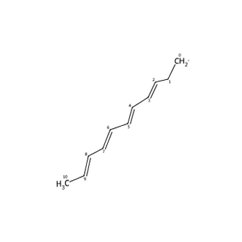 [CH2]CC=CC=CC=CC=CC